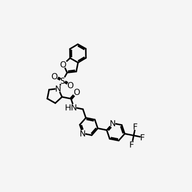 O=C(NCc1cncc(-c2ccc(C(F)(F)F)cn2)c1)C1CCCN1S(=O)(=O)c1cc2ccccc2o1